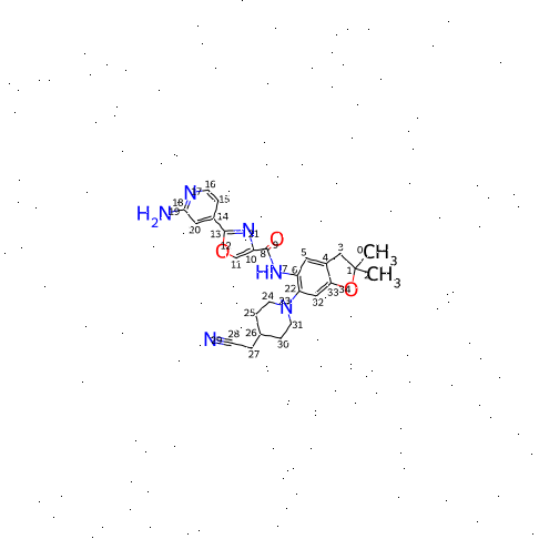 CC1(C)Cc2cc(NC(=O)c3coc(-c4ccnc(N)c4)n3)c(N3CCC(CC#N)CC3)cc2O1